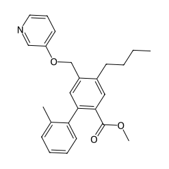 CCCCc1cc(C(=O)OC)c(-c2ccccc2C)cc1COc1cccnc1